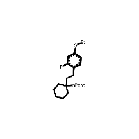 CCCCCC1(CCc2ccc(OCC)cc2F)CCCCC1